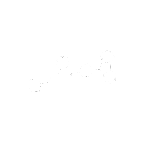 O=C(c1ccccc1OCCN1CCOCC1)N1CCN(C2c3ccccc3-c3ccccc32)CC1